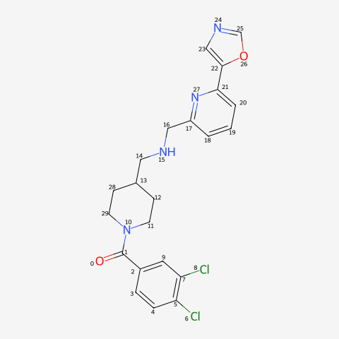 O=C(c1ccc(Cl)c(Cl)c1)N1CCC(CNCc2cccc(-c3cnco3)n2)CC1